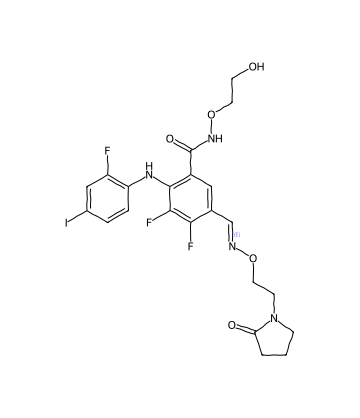 O=C(NOCCO)c1cc(/C=N/OCCN2CCCC2=O)c(F)c(F)c1Nc1ccc(I)cc1F